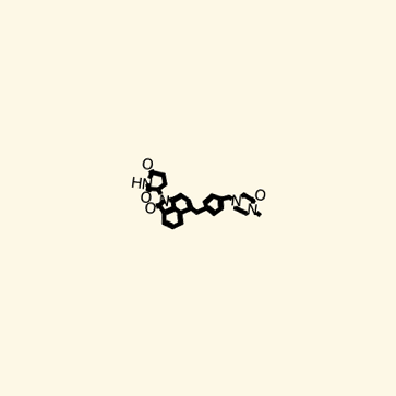 CN1CCN(Cc2ccc(Cc3ccc4c5c(cccc35)C(=O)N4C3CCC(=O)NC3=O)cc2)CC1=O